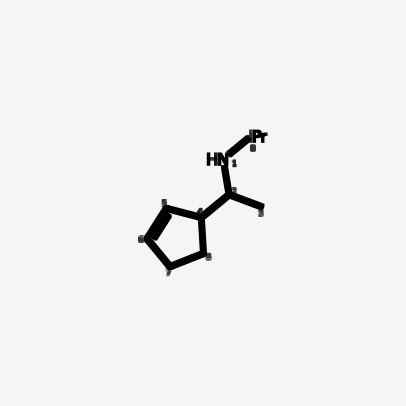 CC(C)NC(C)C1C=CCC1